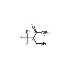 CCC(C)(C)C(CC(C)C)C(=O)OCC(C)C